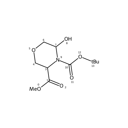 COC(=O)C1COCC(O)N1C(=O)OC(C)(C)C